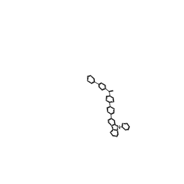 C=C(c1ccc(-c2ccccc2)cc1)c1ccc(-c2ccc(-c3ccc4c5ccccc5n(-c5ccccc5)c4c3)cc2)cc1